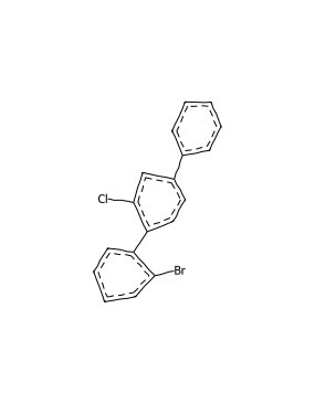 Clc1cc(-c2ccccc2)ccc1-c1ccccc1Br